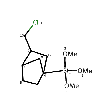 CO[Si](OC)(OC)C12CCC(C1)C(CCl)C2